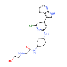 O=C(CNCCO)N[C@H]1CC[C@H](Nc2cc(-c3c[nH]c4ncccc34)cc(Cl)n2)CC1